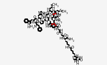 CSCC[C@H](NC(=O)[C@H](C)NC(=O)[C@H](Cc1c[nH]c2ccccc12)NC(=O)[C@@H]1CCCN1C(=O)[C@H](Cc1c[nH]cn1)NC(=O)[C@H](Cc1c[nH]c2ccccc12)NC(=O)[C@@H](N)Cc1ccccc1)C(=O)N[C@@H](CCSC)C(=O)N[C@@H](C)C(=O)N[C@@H](CCCCN)C(=O)NCC(=O)NCC(=O)NCC(=O)N[C@@H](CCCCNC(=O)CCCC[C@@H]1SC[C@@H]2NC(=O)N[C@@H]21)C(N)=O